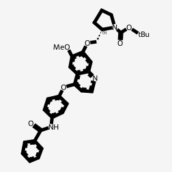 COc1cc2c(Oc3ccc(NC(=O)c4ccccc4)cc3)ccnc2cc1OC[C@@H]1CCCN1C(=O)OC(C)(C)C